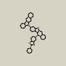 c1ccc(-c2nc3cc(-c4c5ccccc5cc5oc6cc(-n7c8ccccc8c8cc9ccccc9cc87)ccc6c45)ccc3o2)cc1